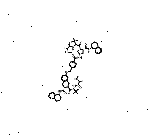 CN[C@@H](C)C(=O)NC(C(=O)N1C[C@@H](NC(=O)c2ccc(CNc3ccc4c(c3)CN(C(=O)[C@@H](NC(=O)[C@H](C)NC)C(C)(C)C)[C@H](C(=O)N[C@@H]3CCCc5ccccc53)C4)cc2)C[C@H]1C(=O)N[C@@H]1CCCc2ccccc21)C(C)(C)C